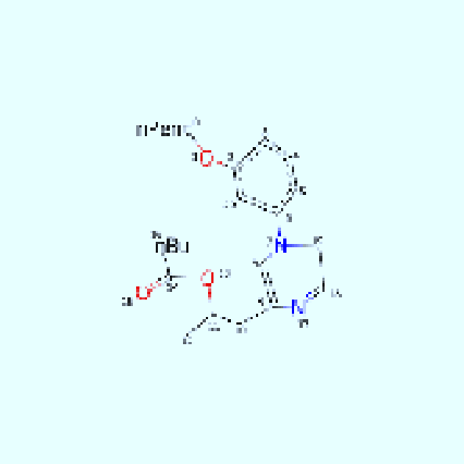 CCCCCOc1cccc(N2C=C(CC(C)OC(=O)CCCC)N=CC2)c1